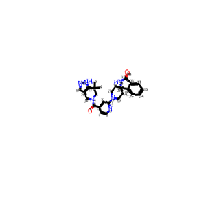 CC1(C)CN(C(=O)c2ccnc(N3CCC4(CC3)NC(=O)c3ccccc34)c2)Cc2cn[nH]c21